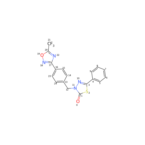 O=c1sc(-c2ccccc2)nn1Cc1ccc(-c2noc(C(F)(F)F)n2)cc1